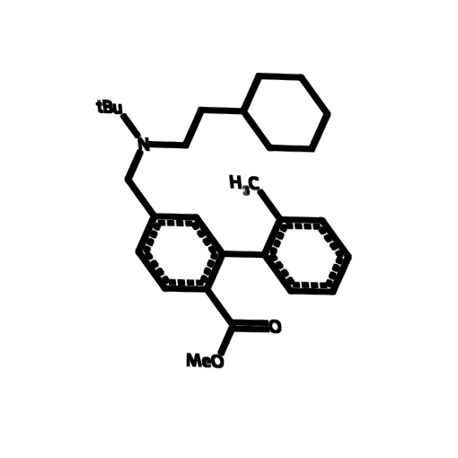 COC(=O)c1ccc(CN(CCC2CCCCC2)C(C)(C)C)cc1-c1ccccc1C